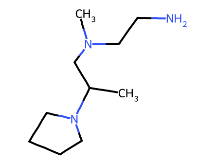 CC(CN(C)CCN)N1CCCC1